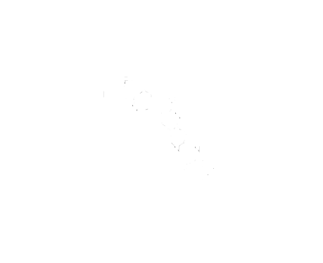 CC[C@H](O)c1cc(C)c(-c2cc3cnc(NC(=O)[C@@H]4CC4(F)F)cc3n(C)c2=O)cn1